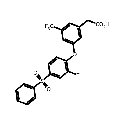 O=C(O)Cc1cc(Oc2ccc(S(=O)(=O)c3ccccc3)cc2Cl)cc(C(F)(F)F)c1